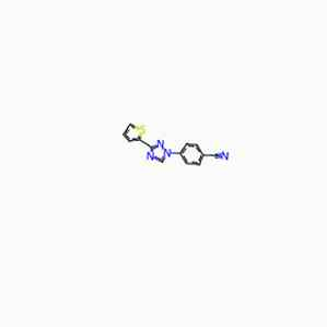 N#Cc1ccc(-n2cnc(-c3cccs3)n2)cc1